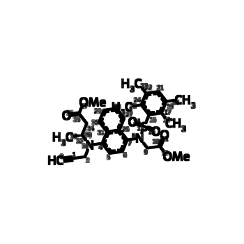 C#CCN(c1ccc(N(CC(=O)OC)S(=O)(=O)c2c(C)c(C)cc(C)c2C)c2ccccc12)[C@@H](C)CC(=O)OC